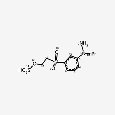 CCCN(N)c1cccc(S(=O)(=O)CCOS(=O)(=O)O)c1